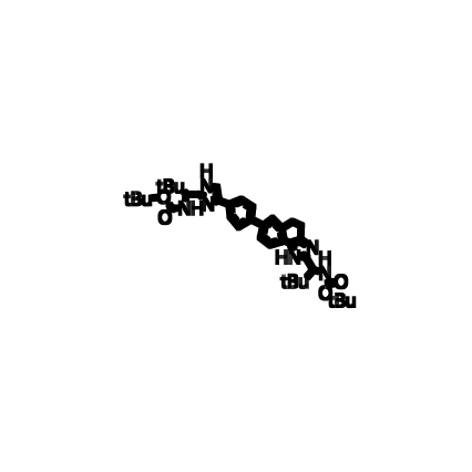 CC(C)(C)OC(=O)NC(c1nc(-c2ccc(-c3ccc4c(c3)CCc3nc(C(NC(=O)OC(C)(C)C)C(C)(C)C)[nH]c3-4)cc2)c[nH]1)C(C)(C)C